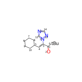 CC(C)(C)C(=O)/C(=C/C1CCCCC1)n1cncn1